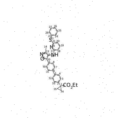 CCOC(=O)C1(c2ccc(-c3ccc(-c4onc(C)c4Nc4cccc(Sc5ccccc5)n4)cc3)cc2)CC1